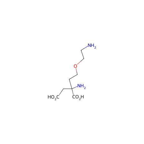 NCCOCCC(N)(CC(=O)O)C(=O)O